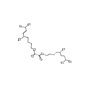 CCC(CC)CCC(CC)CCCCOC(=O)C(=O)OCCCCC(CC)CCC(CC)CC